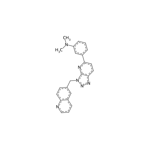 CN(C)c1cccc(-c2ccc3nnn(Cc4ccc5ncccc5c4)c3n2)c1